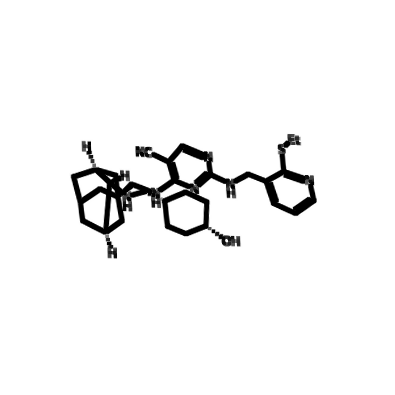 CCSc1ncccc1CNc1ncc(C#N)c(NC[C@]23CC4C[C@H](C2)[C@@H](NC[C@H]2CC[C@@H](O)CC2)[C@@H](C4)C3)n1